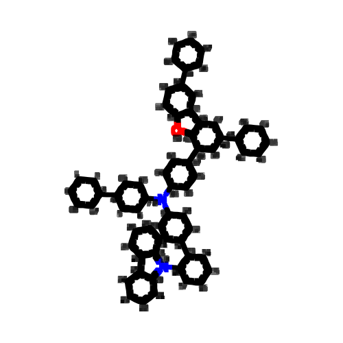 c1ccc(-c2ccc(N(c3ccc(-c4ccccc4-n4c5ccccc5c5ccccc54)cc3)c3ccc(-c4cc(-c5ccccc5)cc5c4oc4ccc(-c6ccccc6)cc45)cc3)cc2)cc1